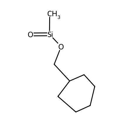 C[Si](=O)OCC1CCCCC1